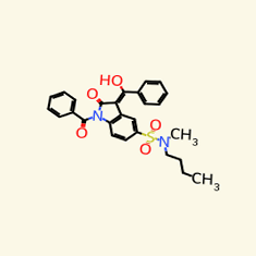 CCCCN(C)S(=O)(=O)c1ccc2c(c1)/C(=C(/O)c1ccccc1)C(=O)N2C(=O)c1ccccc1